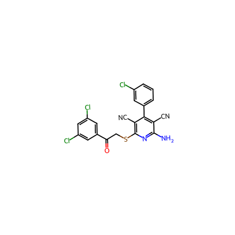 N#Cc1c(N)nc(SCC(=O)c2cc(Cl)cc(Cl)c2)c(C#N)c1-c1cccc(Cl)c1